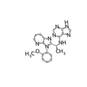 COc1ccccc1-n1c([C@H](C)Nc2ncnc3[nH]cnc23)nc2cccnc21